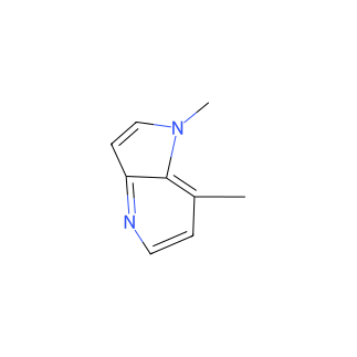 Cc1ccnc2ccn(C)c12